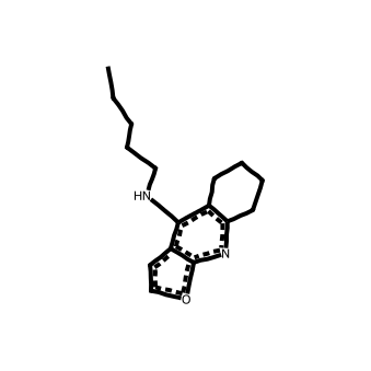 CCCCCNc1c2c(nc3occc13)CCCC2